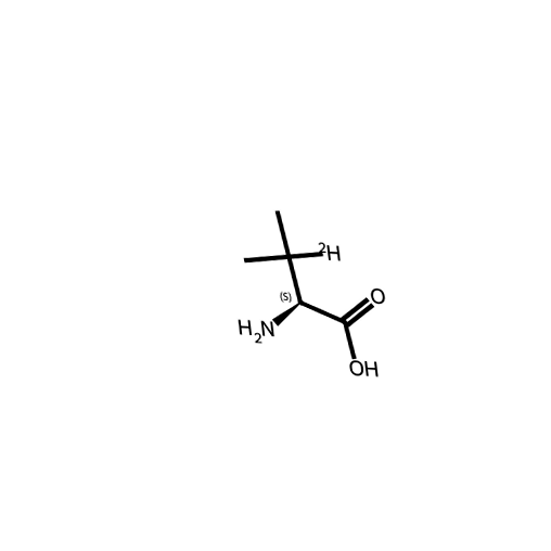 [2H]C(C)(C)[C@H](N)C(=O)O